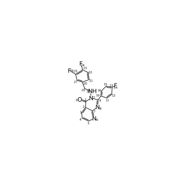 O=c1c2cccnc2nc(-c2ccc(F)cc2)n1NCc1ccc(F)c(F)c1